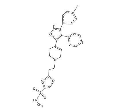 CNS(=O)(=O)c1ccc(CCN2CC=C(c3c[nH]c(-c4ccc(F)cc4)c3-c3ccncc3)CC2)s1